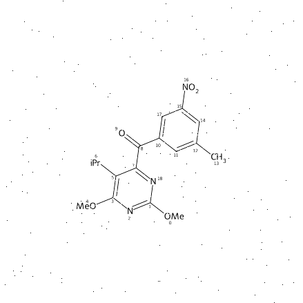 COc1nc(OC)c(C(C)C)c(C(=O)c2cc(C)cc([N+](=O)[O-])c2)n1